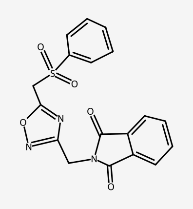 O=C1c2ccccc2C(=O)N1Cc1noc(CS(=O)(=O)c2ccccc2)n1